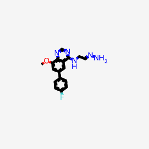 COc1cc(-c2ccc(F)cc2)cc2c(NC/C=N/N)ncnc12